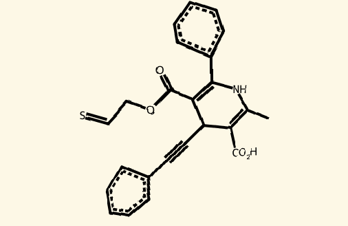 CC1=C(C(=O)O)C(C#Cc2ccccc2)C(C(=O)OCC=S)=C(c2ccccc2)N1